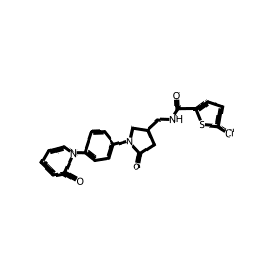 O=C(NCC1CC(=O)N(c2ccc(-n3ccccc3=O)cc2)C1)c1ccc(Cl)s1